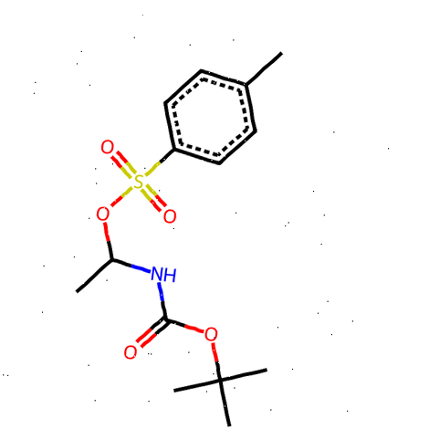 Cc1ccc(S(=O)(=O)OC(C)NC(=O)OC(C)(C)C)cc1